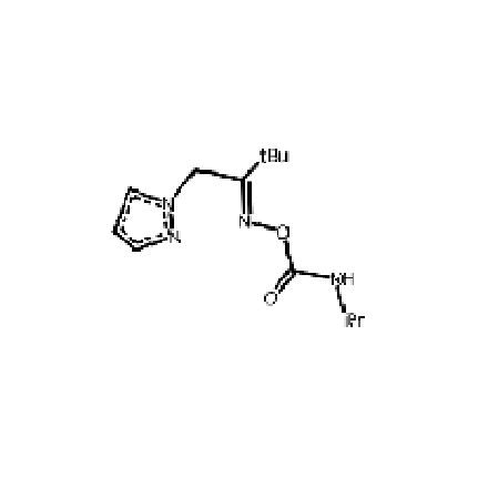 CC(C)NC(=O)ON=C(Cn1cccn1)C(C)(C)C